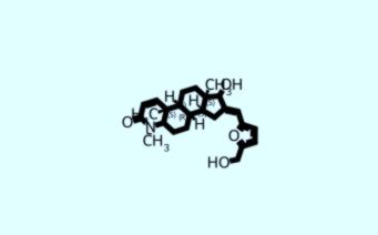 CN1C(=O)C=C[C@@]2(C)C1CC[C@@H]1[C@H]2CC[C@]2(C)C(O)C(=Cc3ccc(CO)o3)C[C@@H]12